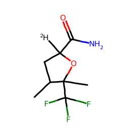 [2H]C1(C(N)=O)CC(C)C(C)(C(F)(F)F)O1